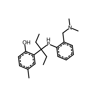 CCC(CC)(Pc1ccccc1CN(C)C)c1cc(C)ccc1O